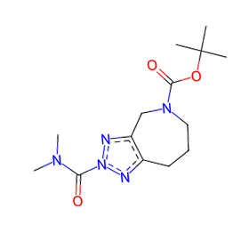 CN(C)C(=O)n1nc2c(n1)CN(C(=O)OC(C)(C)C)CCC2